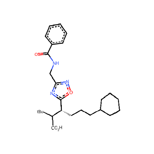 CC(C)(C)C(C(=O)O)[C@@H](CCCC1CCCCC1)c1nc(CNC(=O)c2ccccc2)no1